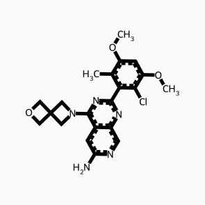 COc1cc(OC)c(Cl)c(-c2nc(N3CC4(COC4)C3)c3cc(N)ncc3n2)c1C